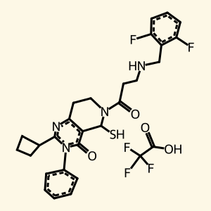 O=C(CCNCc1c(F)cccc1F)N1CCc2nc(C3CCC3)n(-c3ccccc3)c(=O)c2C1S.O=C(O)C(F)(F)F